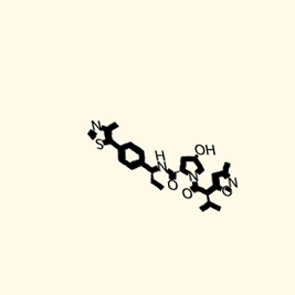 CC[C@H](NC(=O)[C@@H]1C[C@@H](O)CN1C(=O)[C@@H](c1cc(C)no1)C(C)C)c1ccc(-c2scnc2C)cc1